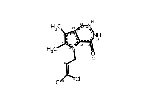 Cc1c(C)n(CC=C(Cl)Cl)c2c(=O)[nH]ncc12